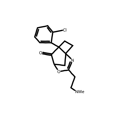 CNCCC1=NC23CCC2(c2ccccc2Cl)C(=O)C(C3)O1